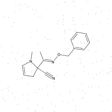 C/C(=N\OCc1ccccc1)C1(C#N)CC=CN1C